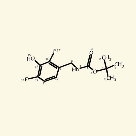 CC(C)(C)OC(=O)NCc1ccc(F)c(O)c1F